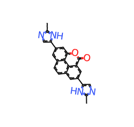 Cc1ncc(-c2cc3ccc4cc(-c5cnc(C)[nH]5)cc5c(=O)oc(c2)c3c45)[nH]1